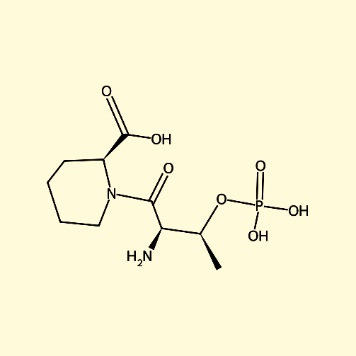 C[C@H](OP(=O)(O)O)[C@@H](N)C(=O)N1CCCC[C@H]1C(=O)O